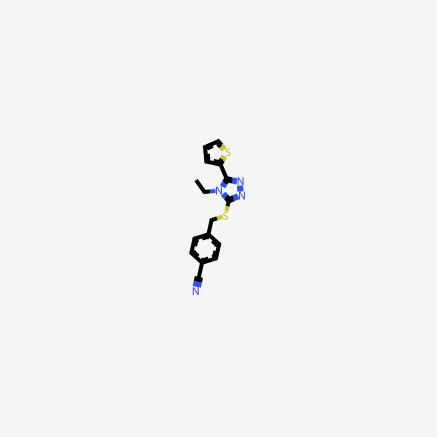 CCn1c(SCc2ccc(C#N)cc2)nnc1-c1cccs1